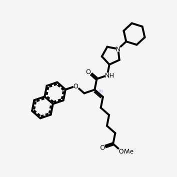 COC(=O)CCCC/C=C(\COc1ccc2ccccc2c1)C(=O)NC1CCN(C2CCCCC2)C1